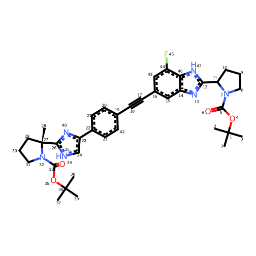 CC(C)(C)OC(=O)N1CCCC1c1nc2cc(C#Cc3ccc(-c4c[nH]c([C@@]5(C)CCCN5C(=O)OC(C)(C)C)n4)cc3)cc(F)c2[nH]1